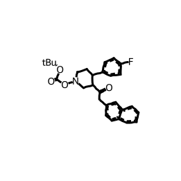 CC(C)(C)OC(=O)ON1CCC(c2ccc(F)cc2)C(C(=O)Cc2ccc3ccccc3c2)C1